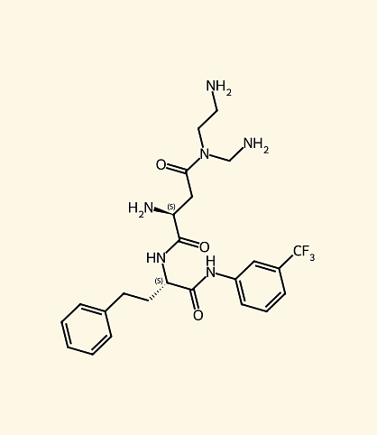 NCCN(CN)C(=O)C[C@H](N)C(=O)N[C@@H](CCc1ccccc1)C(=O)Nc1cccc(C(F)(F)F)c1